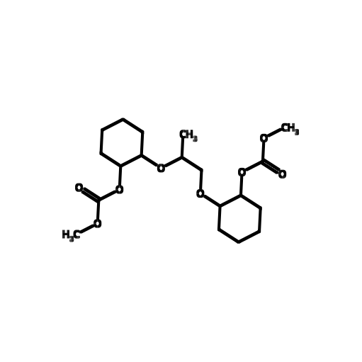 COC(=O)OC1CCCCC1OCC(C)OC1CCCCC1OC(=O)OC